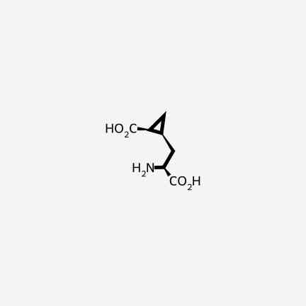 N[C@@H](C[C@@H]1C[C@@H]1C(=O)O)C(=O)O